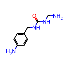 NCNC(=O)NCc1ccc(N)cc1